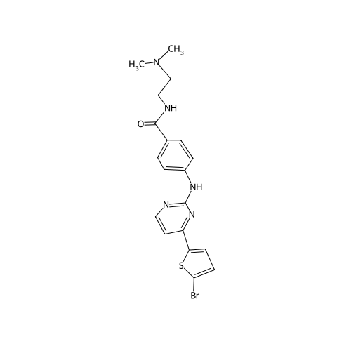 CN(C)CCNC(=O)c1ccc(Nc2nccc(-c3ccc(Br)s3)n2)cc1